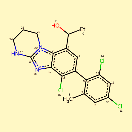 CCC(O)c1cc(-c2c(C)cc(Cl)cc2Cl)c(Cl)c2nc3n(c12)CCCN3